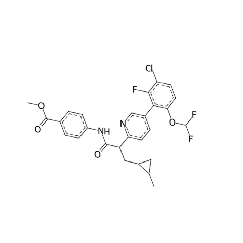 COC(=O)c1ccc(NC(=O)C(CC2CC2C)c2ccc(-c3c(OC(F)F)ccc(Cl)c3F)cn2)cc1